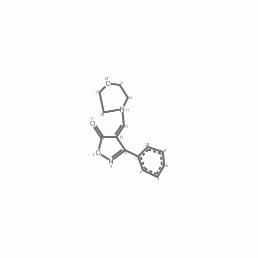 O=C1ON=C(c2ccccc2)C1=CN1CCOCC1